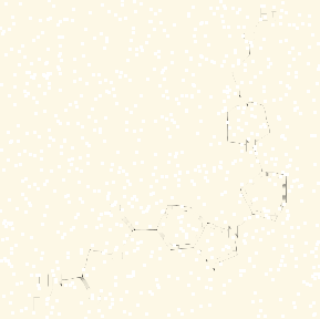 CCNC(=O)COC(=O)c1ccc2c(c1)ncn2-c1cccc(N2CCN(CCOCC)CC2)c1